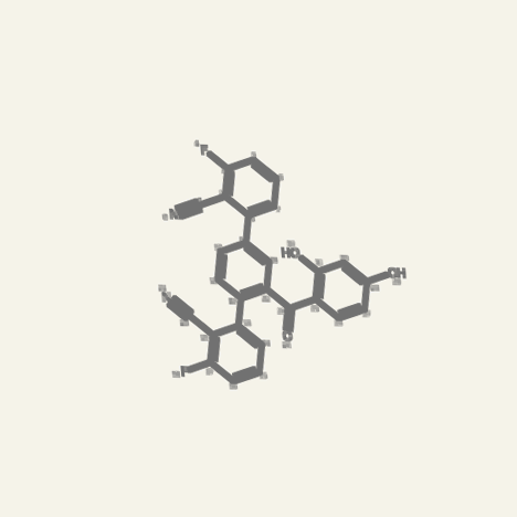 N#Cc1c(F)cccc1-c1ccc(-c2cccc(F)c2C#N)c(C(=O)c2ccc(O)cc2O)c1